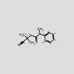 CN(C(=S)SC(C)(C)C#N)c1ccccn1